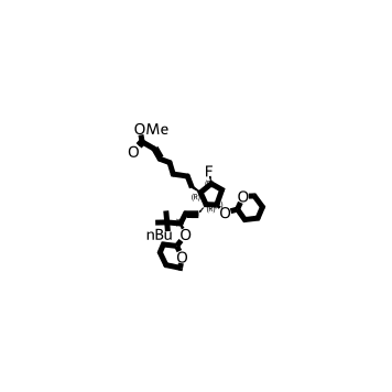 CCCCC(C)(C)[C@@H](C=C[C@@H]1[C@@H](CCCCC=CC(=O)OC)[C@H](F)C[C@H]1OC1CCCCO1)OC1CCCCO1